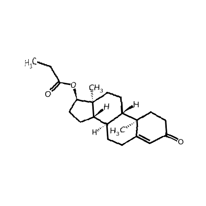 CCC(=O)O[C@@H]1CC[C@H]2[C@@H]3CCC4=CC(=O)CC[C@]4(C)[C@H]3CC[C@]12C